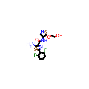 Nc1sc(-c2c(F)cccc2F)nc1C(=O)Nc1cnsc1OCCO